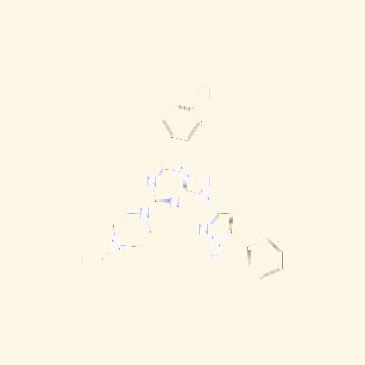 CN1CCN(c2nc(Nc3cc(-c4ccccc4)[nH]n3)nc(Sc3ccc(Cl)cc3)n2)CC1